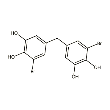 Oc1cc(Cc2cc(O)c(O)c(Br)c2)cc(Br)c1O